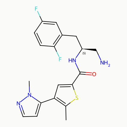 Cc1sc(C(=O)N[C@H](CN)Cc2cc(F)ccc2F)cc1-c1ccnn1C